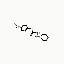 O=C(NNN1CCOCC1)Oc1ccc([N+](=O)[O-])cc1